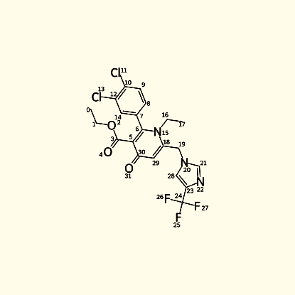 CCOC(=O)c1c(-c2ccc(Cl)c(Cl)c2)n(CC)c(Cn2cnc(C(F)(F)F)c2)cc1=O